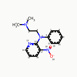 CN(C)CCN(c1ccccc1)c1ncccc1[N+](=O)[O-]